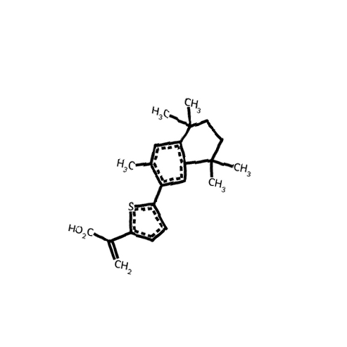 C=C(C(=O)O)c1ccc(-c2cc3c(cc2C)C(C)(C)CCC3(C)C)s1